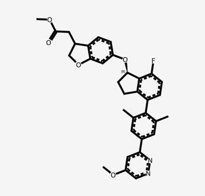 COC(=O)CC1COc2cc(O[C@@H]3CCc4c(-c5c(C)cc(-c6cc(OC)cnn6)cc5C)ccc(F)c43)ccc21